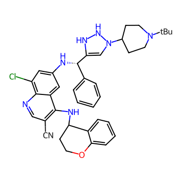 CC(C)(C)N1CCC(N2C=C([C@@H](Nc3cc(Cl)c4ncc(C#N)c(NC5CCOc6ccccc65)c4c3)c3ccccc3)NN2)CC1